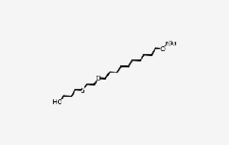 CCCCOCCCCCCCCCCOCCSCCCO